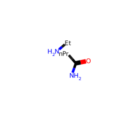 CCCC(N)=O.CCN